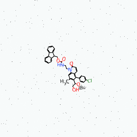 Cc1cc2c(ccc(=O)n2CCNC(=O)OCC2c3ccccc3-c3ccccc32)c(-c2ccc(Cl)cc2)c1C(CO)OC(C)(C)C